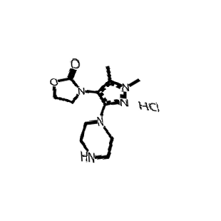 Cc1c(N2CCOC2=O)c(N2CCNCC2)nn1C.Cl